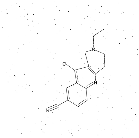 CCN1CCc2nc3ccc(C#N)cc3c(Cl)c2C1